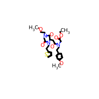 CCOC(=O)CN(CCc1ccc(OC)cc1)C(=O)CC1C(=O)N(CCOC)CC(=O)N1CCc1cccs1